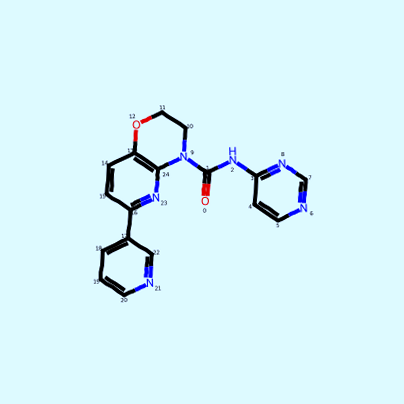 O=C(Nc1ccncn1)N1CCOc2ccc(-c3cccnc3)nc21